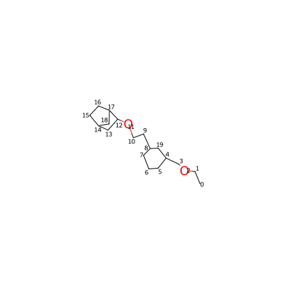 CCOCC1CCCC(CCOC2CC3CCC2C3)C1